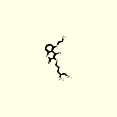 CCC(C)CCCOc1c(O)c2c(OCCO)cccc2oc1=O